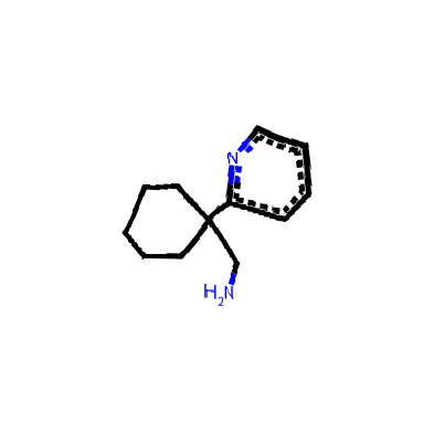 NCC1(c2ccccn2)CCCCC1